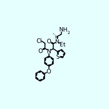 CCN(C(=O)C(c1cccs1)N(C(=O)CCl)c1ccc(Oc2ccccc2)cc1)[C@H](C)CN